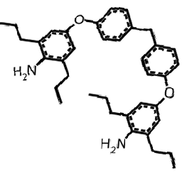 CCCc1cc(Oc2ccc(Cc3ccc(Oc4cc(CCC)c(N)c(CCC)c4)cc3)cc2)cc(CCC)c1N